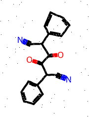 N#CC(C(=O)C(=O)C(C#N)c1ccccc1)c1ccccc1